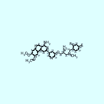 COc1cc2ncc3c(N)nc(-c4cncc(OC[C@@H](N)CN(C)Cc5ccc(F)cc5F)c4)cc3c2cc1OC